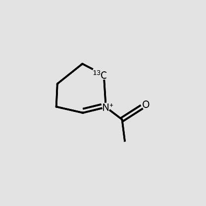 CC(=O)[N+]1=CCCC[13CH2]1